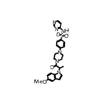 COc1ccc2c(ccn2C(C)C(=O)N2CCN(c3ccc(S(=O)(=O)Nc4ccncn4)cc3)CC2)c1